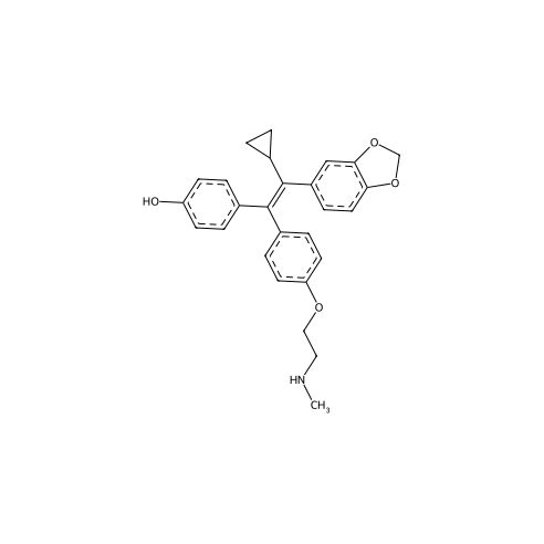 CNCCOc1ccc(C(=C(c2ccc3c(c2)OCO3)C2CC2)c2ccc(O)cc2)cc1